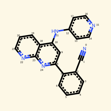 N#Cc1ccccc1-c1cc(Nc2ccncc2)c2cccnc2n1